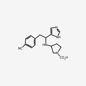 N#Cc1ccc(CC(NC2CCN(C(=O)O)C2)c2cnc[nH]2)cc1